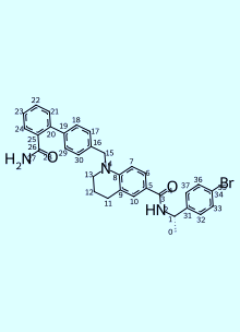 C[C@H](NC(=O)c1ccc2c(c1)CCCN2Cc1ccc(-c2ccccc2C(N)=O)cc1)c1ccc(Br)cc1